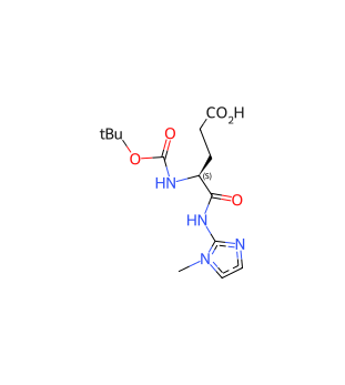 Cn1ccnc1NC(=O)[C@H](CCC(=O)O)NC(=O)OC(C)(C)C